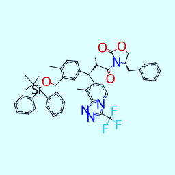 Cc1ccc([C@H](c2ccn3c(C(F)(F)F)nnc3c2C)C(C)C(=O)N2C(=O)OC[C@H]2Cc2ccccc2)cc1CO[Si](c1ccccc1)(c1ccccc1)C(C)(C)C